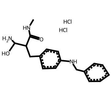 CNC(=O)C(Cc1ccc(NCc2ccccc2)cc1)C(N)O.Cl.Cl